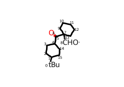 CC(C)(C)C1CCC(C(=O)C2([C]=O)CCCCC2)CC1